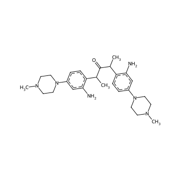 CC(C(=O)C(C)c1ccc(N2CCN(C)CC2)cc1N)c1ccc(N2CCN(C)CC2)cc1N